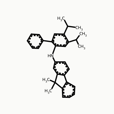 CC(C)c1cc(Nc2ccc3c(c2)C(C)(C)c2ccccc2-3)c(-c2ccccc2)cc1C(C)C